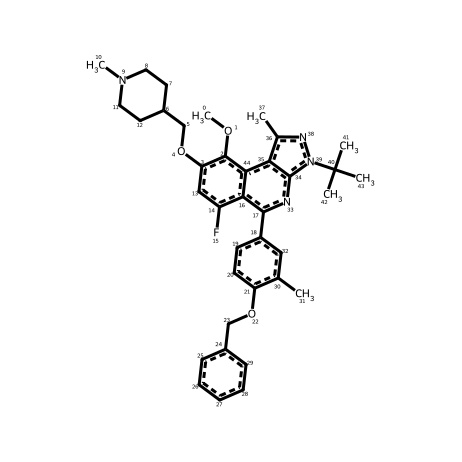 COc1c(OCC2CCN(C)CC2)cc(F)c2c(-c3ccc(OCc4ccccc4)c(C)c3)nc3c(c(C)nn3C(C)(C)C)c12